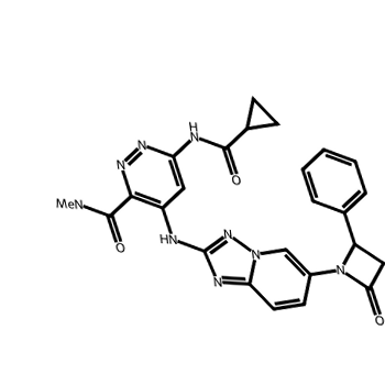 CNC(=O)c1nnc(NC(=O)C2CC2)cc1Nc1nc2ccc(N3C(=O)CC3c3ccccc3)cn2n1